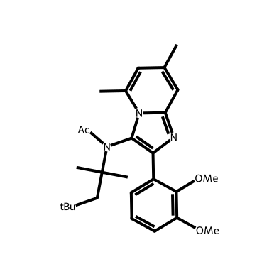 COc1cccc(-c2nc3cc(C)cc(C)n3c2N(C(C)=O)C(C)(C)CC(C)(C)C)c1OC